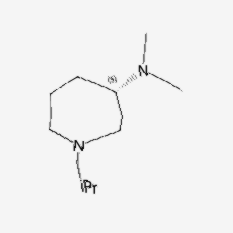 CC(C)N1CCC[C@H](N(C)C)C1